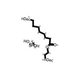 CCCCCCCCCCCCCCCCCC(=O)OCCCCCCCCCCCC.N.O=S(=O)(O)O